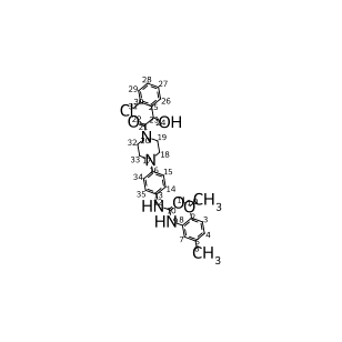 COc1ccc(C)cc1NC(=O)Nc1ccc(N2CCN(C(=O)C(O)c3ccccc3Cl)CC2)cc1